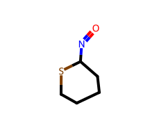 O=NC1CCCCS1